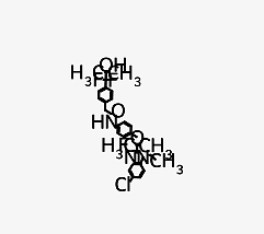 CCn1c(C(C)(C)Oc2ccc(NC(=O)Cc3ccc(C(F)(F)C(C)(C)O)cc3)cc2F)nc2cc(Cl)ccc21